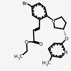 CCOC(=O)/C=C/c1cc(Br)ccc1N1CC[C@H](Oc2ccc(C)cn2)C1